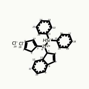 C1=CC[C]([Zr+2]([CH]2C=Cc3ccccc32)[SiH](c2ccccc2)c2ccccc2)=C1.[Cl-].[Cl-]